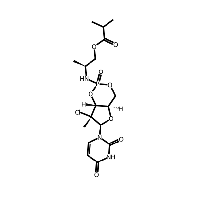 CC(C)C(=O)OC[C@H](C)NP1(=O)OC[C@H]2O[C@@H](n3ccc(=O)[nH]c3=O)[C@](C)(Cl)[C@@H]2O1